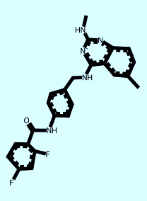 CNc1nc(NCc2ccc(NC(=O)c3ccc(F)cc3F)cc2)c2cc(C)ccc2n1